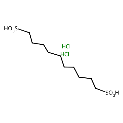 Cl.Cl.O=S(=O)(O)CCCCCCCCCCS(=O)(=O)O